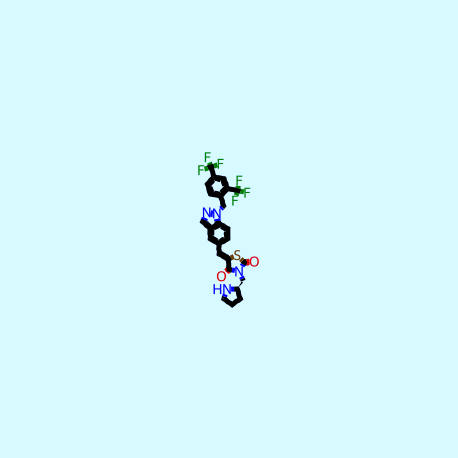 O=C1S/C(=C\c2ccc3c(cnn3Cc3ccc(C(F)(F)F)cc3C(F)(F)F)c2)C(=O)N1C[C@@H]1CCCN1